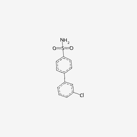 NS(=O)(=O)c1ccc(-c2cccc(Cl)c2)cc1